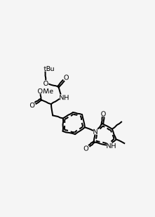 COC(=O)C(Cc1ccc(-n2c(=O)[nH]c(C)c(C)c2=O)cc1)NC(=O)OC(C)(C)C